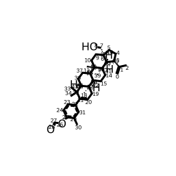 C=C(C)[C@@H]1CC[C@]2(CO)CC[C@]3(C)[C@H](CC[C@@H]4[C@@]5(C)CC=C(c6ccc(OC=O)c(C)c6)C(C)(C)[C@@H]5CC[C@]43C)[C@@H]12